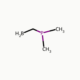 BCP(C)C